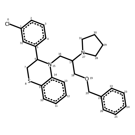 Clc1cccc(C2CSc3ccccc3N2CC(COCc2ccccc2)N2CCCC2)c1